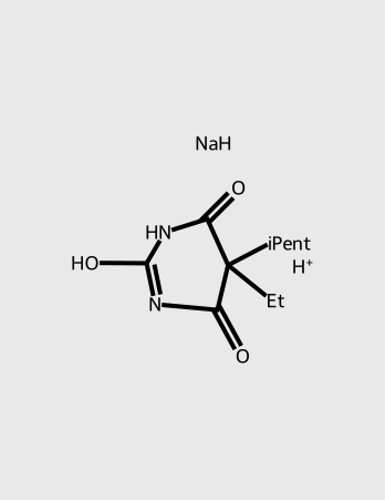 CCCC(C)C1(CC)C(=O)N=C(O)NC1=O.[H+].[NaH]